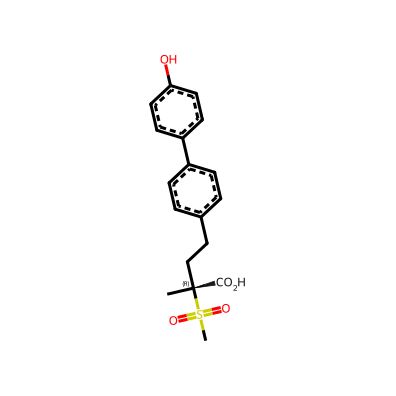 C[C@@](CCc1ccc(-c2ccc(O)cc2)cc1)(C(=O)O)S(C)(=O)=O